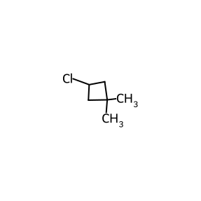 CC1(C)CC(Cl)C1